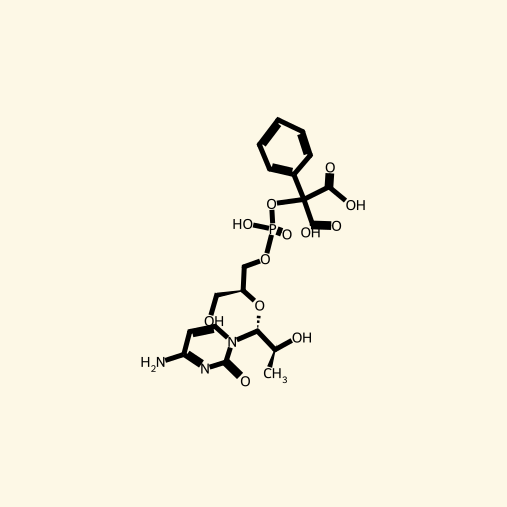 C[C@H](O)[C@@H](O[C@@H](CO)COP(=O)(O)OC(C(=O)O)(C(=O)O)c1ccccc1)n1ccc(N)nc1=O